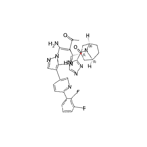 CC(=O)c1c([C@@H]2C[C@H]3CC[C@@H](C2)N3C(=O)c2nnc[nH]2)nc2c(-c3ccc(-c4cccc(F)c4F)nc3)cnn2c1N